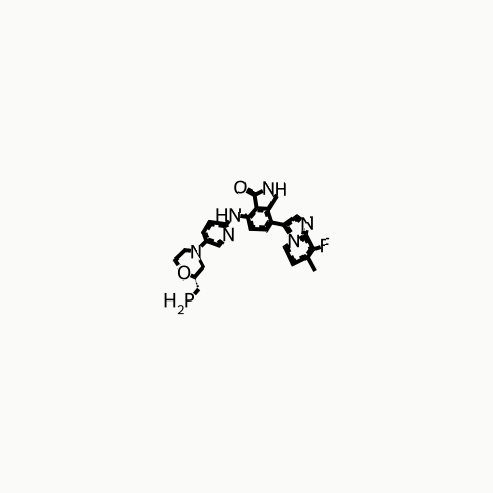 Cc1ccn2c(-c3ccc(Nc4ccc(N5CCO[C@@H](CP)C5)cn4)c4c3CNC4=O)cnc2c1F